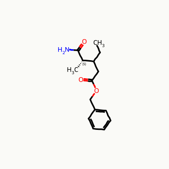 CCC(CC(=O)OCc1ccccc1)[C@H](C)C(N)=O